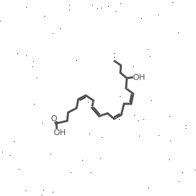 CCCC(O)C/C=C\C/C=C\C/C=C\C/C=C\CCCC(=O)O